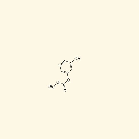 CC(C)(C)OC(=O)Oc1c[c]cc(O)c1